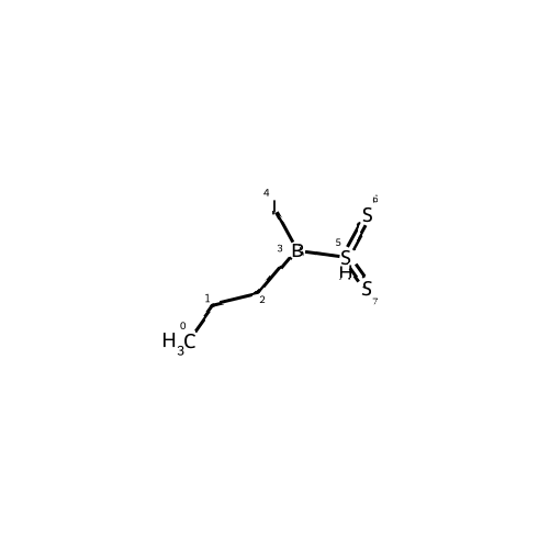 CCCB(I)[SH](=S)=S